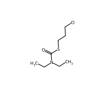 CCN(CC)C(=O)SCCCCl